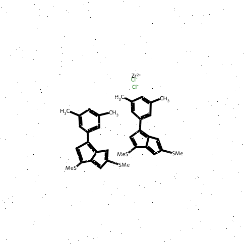 CSC1=CC2=C(c3cc(C)cc(C)c3)C=C(SC)C2=C1.CSC1=CC2=C(c3cc(C)cc(C)c3)C=C(SC)C2=C1.[Cl-].[Cl-].[Zr+2]